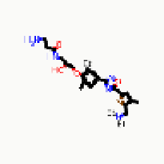 CCc1cc(-c2noc(-c3cc(C)c(CN(CC)CC)s3)n2)cc(C)c1OCC(O)CNC(=O)CCN